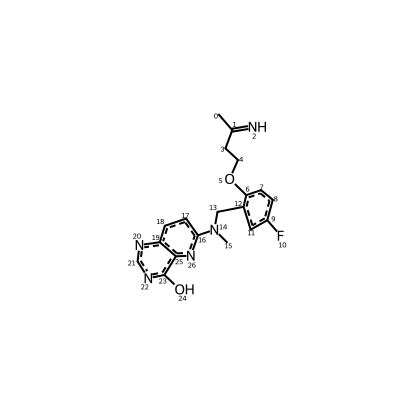 CC(=N)CCOc1ccc(F)cc1CN(C)c1ccc2ncnc(O)c2n1